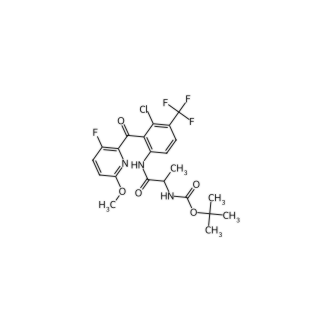 COc1ccc(F)c(C(=O)c2c(NC(=O)C(C)NC(=O)OC(C)(C)C)ccc(C(F)(F)F)c2Cl)n1